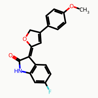 COc1ccc(C2=CC(=C3C(=O)Nc4cc(F)ccc43)OC2)cc1